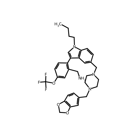 CCCCn1cc(-c2ccc(OC(F)(F)F)cc2CN)c2cc(CN3CCN(Cc4ccc5c(c4)OCO5)CC3)ccc21